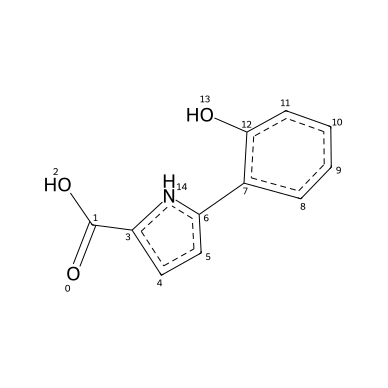 O=C(O)c1ccc(-c2ccccc2O)[nH]1